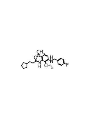 COc1ccc(NCc2ccc(F)cc2)c(C)c1NC(=O)CCC1CCCC1